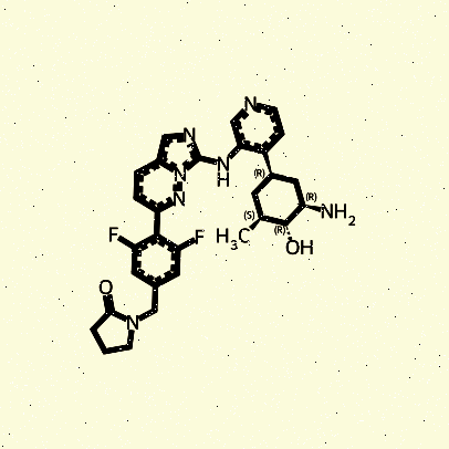 C[C@H]1C[C@@H](c2ccncc2Nc2ncc3ccc(-c4c(F)cc(CN5CCCC5=O)cc4F)nn23)C[C@@H](N)[C@@H]1O